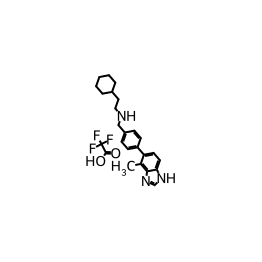 Cc1c(-c2ccc(CNCCC3CCCCC3)cc2)ccc2[nH]cnc12.O=C(O)C(F)(F)F